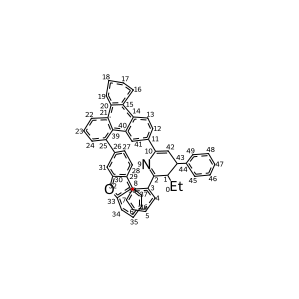 CCC1C(c2ccccc2)=NC(c2ccc3c4ccccc4c4cccc(-c5ccc6c(c5)oc5ccccc56)c4c3c2)=CC1c1ccccc1